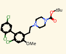 COc1cc(Cl)c(-c2cc(Cl)ccc2Cl)cc1CCN1CCN(C(=O)OC(C)(C)C)CC1